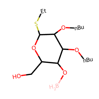 BOC1C(CO)OC(SCC)C(OCCCC)C1OCCCC